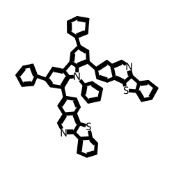 c1ccc(-c2cc(-c3ccc4c(cnc5c6ccccc6sc45)c3)c3c(c2)c2cc(-c4ccccc4)cc(-c4ccc5c(cnc6c7ccccc7sc56)c4)c2n3-c2ccccc2)cc1